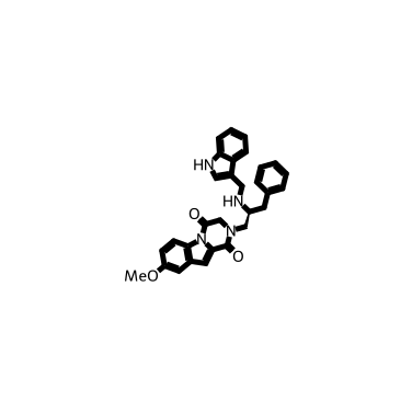 COc1ccc2c(c1)cc1n2C(=O)CN(C[C@H](Cc2ccccc2)NCc2c[nH]c3ccccc23)C1=O